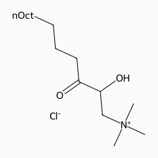 CCCCCCCCCCCC(=O)C(O)C[N+](C)(C)C.[Cl-]